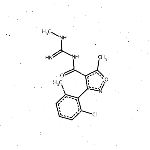 CNC(=N)NC(=O)c1c(-c2c(C)cccc2Cl)noc1C